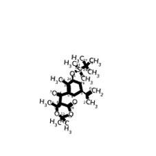 C=C(C)[C@H]1CC(C(=O)C2=C(C)OC(C)(C)OC2=O)=C(C)[C@@H](O[Si](C)(C)C(C)(C)C)C1